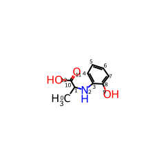 CC(Nc1ccccc1O)C(=O)O